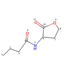 CCCC(=O)NC1CCOC1=O